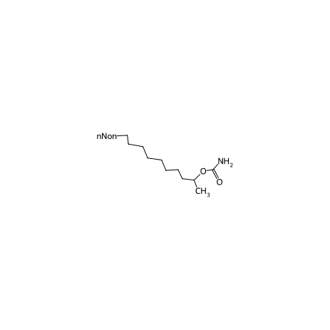 CCCCCCCCCCCCCCCCCC(C)OC(N)=O